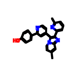 Cc1ccn2c(-c3ccnc(-c4ccc(O)cc4)c3)c(-c3cccc(C)n3)nc2c1